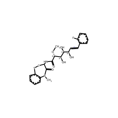 CO[C@@H](C(=O)NC1CSc2ccccc2N(C)C1=O)[C@H](O)[C@@H](O)[C@H](O)/C=C/c1ccccc1F